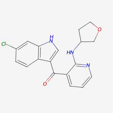 O=C(c1cccnc1NC1CCOC1)c1c[nH]c2cc(Cl)ccc12